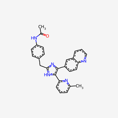 CC(=O)Nc1ccc(Cc2nc(-c3ccc4ncccc4c3)c(-c3cccc(C)n3)[nH]2)cc1